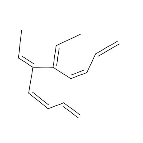 C=C\C=C/C(=C/C)C(/C=C\C=C)=C/C